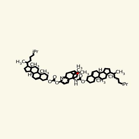 C/C=C1\C2C=C(C)CC1(NC(=O)O[C@H]1CC[C@@]3(C)C(=CC[C@H]4C5CCC(C(C)CCCC(C)C)[C@@]5(C)CCC43)C1)c1ccc(OC(=O)O[C@H]3CC[C@@]4(C)C(=CC[C@H]5C6CCC(C(C)CCCC(C)C)[C@@]6(C)CCC54)C3)nc1C2